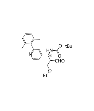 CCOCC(C=O)[C@H](NC(=O)OC(C)(C)C)c1ccnc(-c2c(C)cccc2C)c1